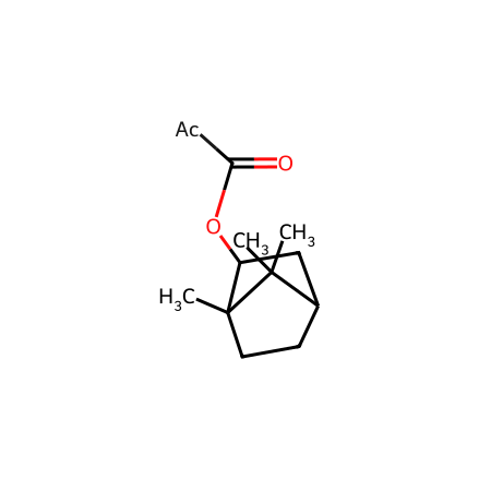 CC(=O)C(=O)OC1CC2CCC1(C)C2(C)C